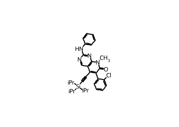 CC(C)[Si](C#Cc1c(-c2ccccc2Cl)c(=O)n(C)c2nc(Nc3ccccc3)ncc12)(C(C)C)C(C)C